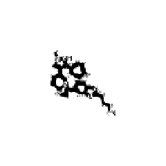 CN1C=C(c2ccc3ncc(-c4ccc5nc(CCCC#N)sc5c4)n3c2)C(c2ccc(F)cc2)N1